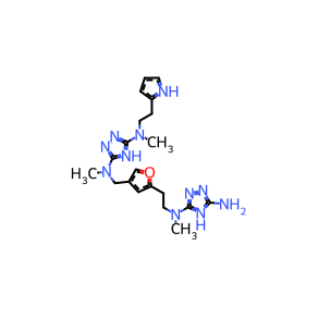 CN(CCc1cc(CN(C)c2nnc(N(C)CCc3ccc[nH]3)[nH]2)co1)c1nnc(N)[nH]1